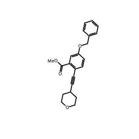 COC(=O)c1cc(OCc2ccccc2)ccc1C#CC1CCOCC1